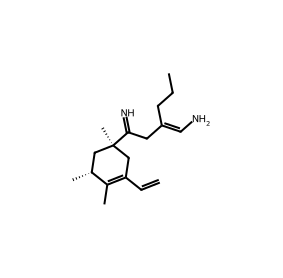 C=CC1=C(C)[C@H](C)C[C@@](C)(C(=N)C/C(=C/N)CCC)C1